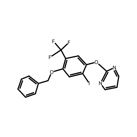 FC(F)(F)c1cc(Oc2ncccn2)c(I)cc1OCc1ccccc1